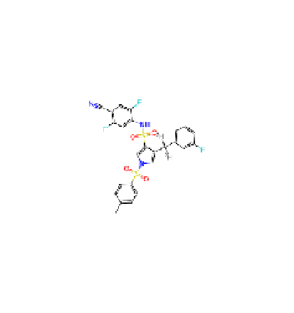 [2H]C([2H])(c1cccc(F)c1)c1cn(S(=O)(=O)c2ccc(C)cc2)cc1S(=O)(=O)Nc1cc(F)c(C#N)cc1F